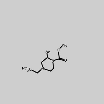 CCCOC(=O)N1CCN(CC(=O)O)CC1C(C)=O